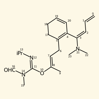 C=C/C=C(\C1=C(C/C=C(\C)OC(=NC(C)C)N(C)C=O)CCC=C1)N(C)C